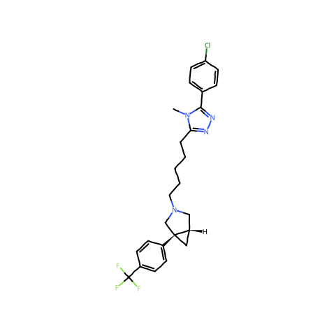 Cn1c(CCCCCN2C[C@@H]3C[C@]3(c3ccc(C(F)(F)F)cc3)C2)nnc1-c1ccc(Cl)cc1